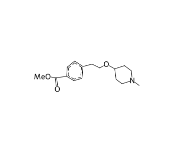 COC(=O)c1ccc(CCOC2CCN(C)CC2)cc1